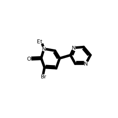 CCn1cc(-c2cnccn2)cc(Br)c1=O